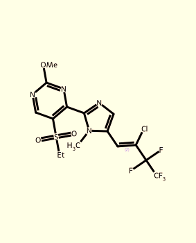 CCS(=O)(=O)c1cnc(OC)nc1-c1ncc(/C=C(\Cl)C(F)(F)C(F)(F)F)n1C